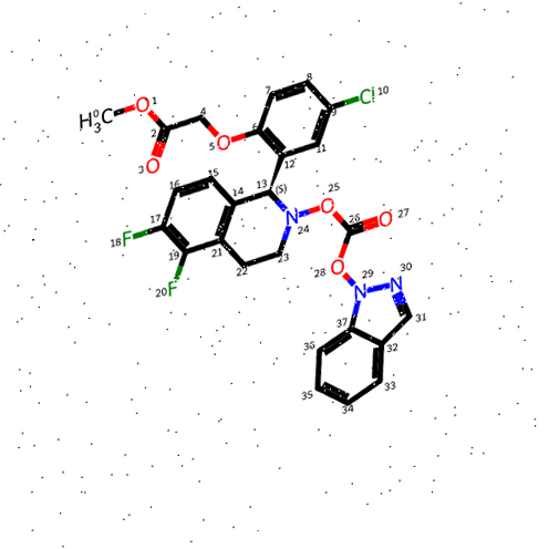 COC(=O)COc1ccc(Cl)cc1[C@@H]1c2ccc(F)c(F)c2CCN1OC(=O)On1ncc2ccccc21